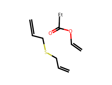 C=CCSCC=C.C=COC(=O)CC